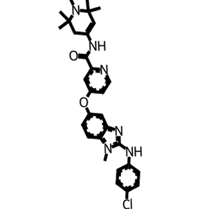 CN1C(C)(C)C=C(NC(=O)c2cc(Oc3ccc4c(c3)nc(Nc3ccc(Cl)cc3)n4C)ccn2)CC1(C)C